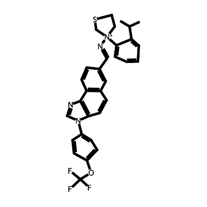 CC(C)c1ccccc1[N+]1(/N=C/c2ccc3c(ccc4c3ncn4-c3ccc(OC(F)(F)F)cc3)c2)CCSC1